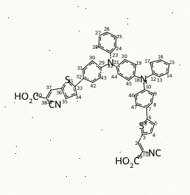 [C-]#[N+]/C(=C\c1ccc(-c2ccc(N(c3ccccc3)c3ccc(N(c4ccccc4)c4ccc(-c5ccc(/C=C(\C#N)C(=O)O)s5)cc4)cc3)cc2)s1)C(=O)O